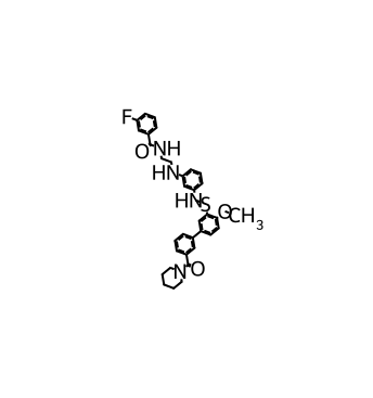 COc1ccc(-c2cccc(C(=O)N3CCCCC3)c2)cc1SNc1cccc(NCCNC(=O)c2cccc(F)c2)c1